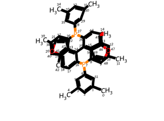 Cc1cc(C)cc(P(c2cc(C)cc(C)c2)c2ccc3occc3c2-c2c(P(c3cc(C)cc(C)c3)c3cc(C)cc(C)c3)ccc3occc23)c1